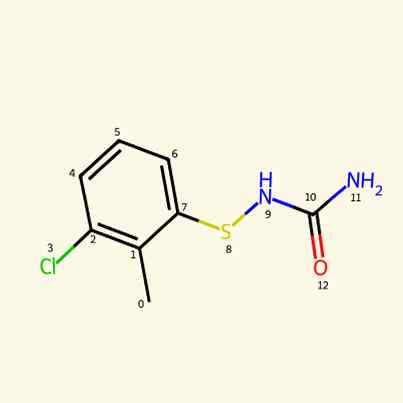 Cc1c(Cl)cccc1SNC(N)=O